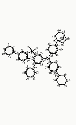 CC1(C)c2cc(-c3ccccc3)ccc2-c2c(-c3ccccc3)cc(N(c3ccc(C4CCCCC4)cc3)c3ccc(C45CCC(CC4)C5)cc3)cc21